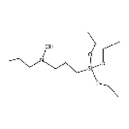 CCCN(O)CCC[Si](OCC)(OCC)OCC